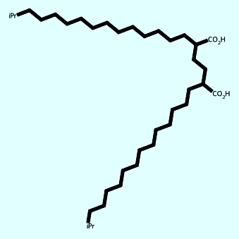 CC(C)CCCCCCCCCCCCCC(CCC(CCCCCCCCCCCCCC(C)C)C(=O)O)C(=O)O